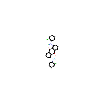 O=C1c2cccc(N(Cl)c3ccccc3Cl)c2C(=O)c2cccc(N(Cl)c3ccccc3Cl)c21